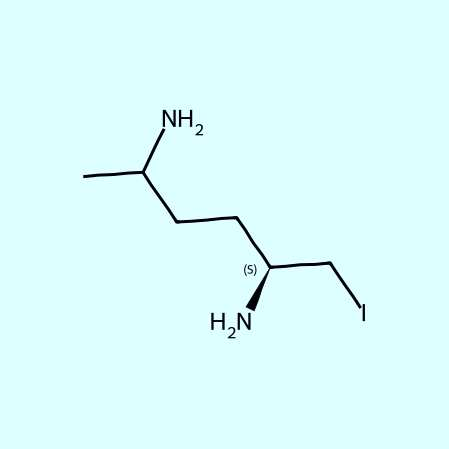 CC(N)CC[C@H](N)CI